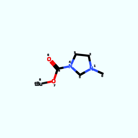 CN1CCN(C(=O)OC(C)(C)C)C1